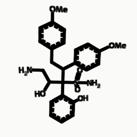 COc1ccc(CC(c2ccc(OC)cc2)C(c2ccccc2O)(C(O)CN)S(N)(=O)=O)cc1